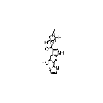 CN1C[C@@H]2C[C@H]1CN2C(=O)c1n[nH]c2cc(-c3nccs3)c(O)cc12